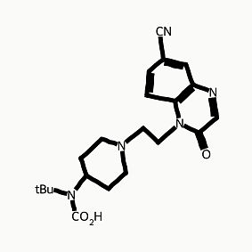 CC(C)(C)N(C(=O)O)C1CCN(CCn2c(=O)cnc3cc(C#N)ccc32)CC1